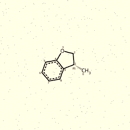 C[C@H]1COc2ccccc21